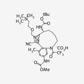 COC(=O)Nc1cc(C)c2c(c1)N(C(=O)C(F)(F)F)[C@@H](C(=O)O)CCCC[C@H](NC(=O)OC(C)(C)C)c1nc-2c(C#N)n1COCC[Si](C)(C)C